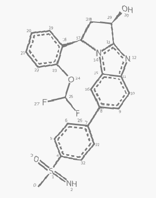 CS(=N)(=O)c1ccc(-c2ccc3nc4n(c3c2)[C@@H](c2ccccc2OC(F)F)C[C@H]4O)cc1